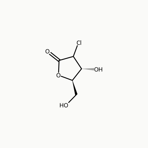 O=C1O[C@H](CO)[C@@H](O)C1Cl